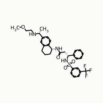 COCCN[C@H](C)c1ccc2c(c1)CCC[C@H]2NC(=O)C[C@@H](NS(=O)(=O)c1cccc(C(F)(F)F)c1)c1ccccc1